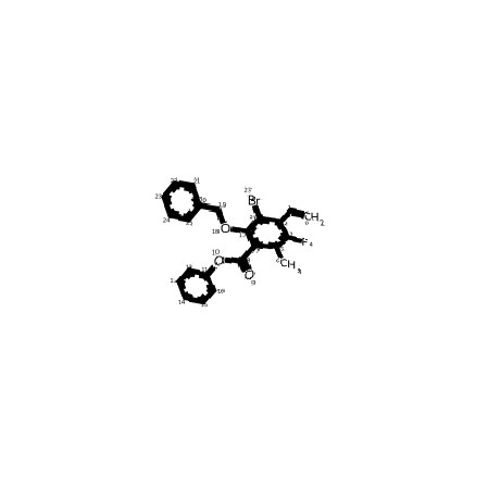 C=Cc1c(F)c(C)c(C(=O)Oc2ccccc2)c(OCc2ccccc2)c1Br